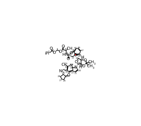 CC(C)C(=O)OCOC(=O)C(C)NP(=O)(COC[C@H]1O[C@@H](n2ccc3c(OC4CCCC4)c(C#N)c(Cl)nc32)[C@@H]2OC(C)(C)O[C@@H]21)Oc1ccccc1